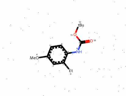 CCc1cc(OC)ccc1NC(=O)OC(C)(C)C